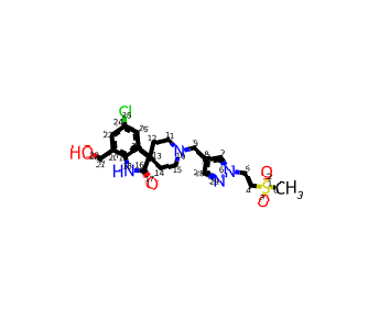 CS(=O)(=O)CCn1cc(CN2CCC3(CC2)C(=O)Nc2c(CO)cc(Cl)cc23)cn1